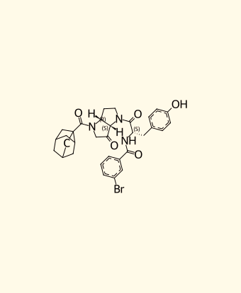 O=C(N[C@@H](Cc1ccc(O)cc1)C(=O)N1CC[C@@H]2[C@H]1C(=O)CN2C(=O)C12CC3CC(CC1C3)C2)c1cccc(Br)c1